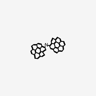 c1cc2ccc3ccc4c([N]c5cc6ccc7ccc8ccc9ccc%10ccc5c5c%10c9c8c7c65)cc5ccc6ccc1c1c2c3c4c5c61